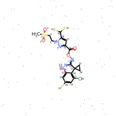 CS(=O)(=O)CCn1nc(C(=O)O/N=C(\N)C2(c3c(Cl)cc(F)cc3Br)CC2)cc1C(F)F